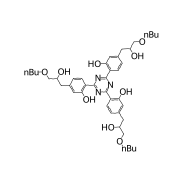 CCCCOCC(O)Cc1ccc(-c2nc(-c3ccc(CC(O)COCCCC)cc3O)nc(-c3ccc(CC(O)COCCCC)cc3O)n2)c(O)c1